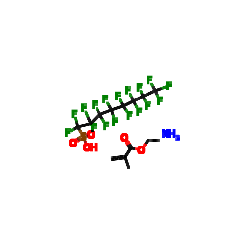 C=C(C)C(=O)OCC.N.O=S(=O)(O)C(F)(F)C(F)(F)C(F)(F)C(F)(F)C(F)(F)C(F)(F)C(F)(F)C(F)(F)F